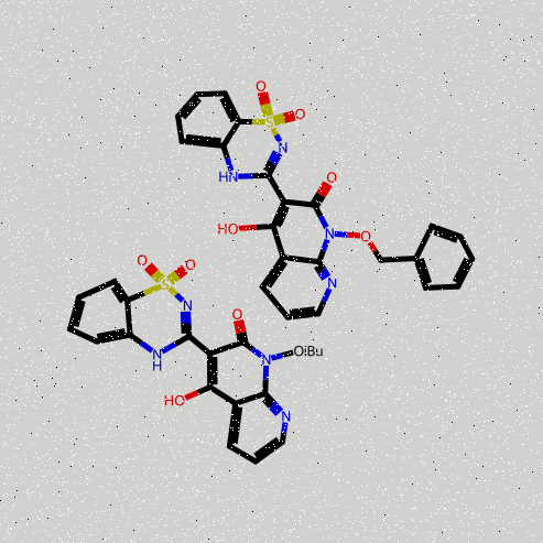 CC(C)COn1c(=O)c(C2=NS(=O)(=O)c3ccccc3N2)c(O)c2cccnc21.O=c1c(C2=NS(=O)(=O)c3ccccc3N2)c(O)c2cccnc2n1OCc1ccccc1